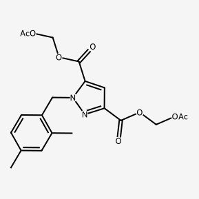 CC(=O)OCOC(=O)c1cc(C(=O)OCOC(C)=O)n(Cc2ccc(C)cc2C)n1